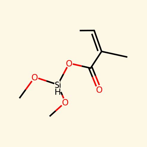 CC=C(C)C(=O)O[SiH](OC)OC